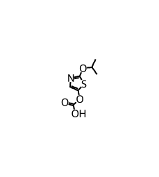 CC(C)Oc1ncc(OC(=O)O)s1